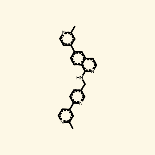 Cc1cc(-c2ccc3c(NCc4ccc(-c5ccnc(C)c5)nc4)nccc3c2)ccn1